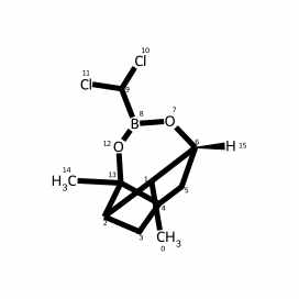 CC1C2CC3C[C@H]1OB(C(Cl)Cl)OC32C